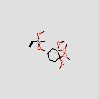 C=C[Si](C)(OC)OC.COC1(OC)CCCC[Si]1(OC)OC